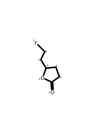 O=C1CCC(CCF)O1